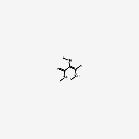 [CH2]C(NC)=C(NC)C(=C)NC